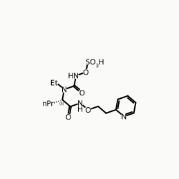 CCC[C@@H](C(=O)NOCCc1ccccn1)N(CC)C(=O)NOS(=O)(=O)O